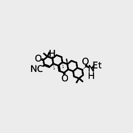 CCNC(=O)[C@@H]1CC(C)(C)CC2C1CC[C@]1(C)C2C(=O)C=C2[C@@]3(C)C=C(C#N)C(=O)C(C)(C)[C@@H]3CC[C@]21C